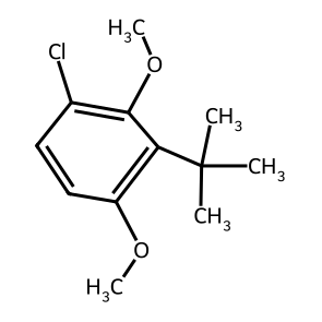 COc1ccc(Cl)c(OC)c1C(C)(C)C